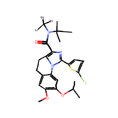 [2H]C([2H])([2H])N(C(=O)c1nc(-c2ccc(F)s2)n2c1CCc1cc(OC)c(OC(C)C)cc1-2)C(C)(C)C